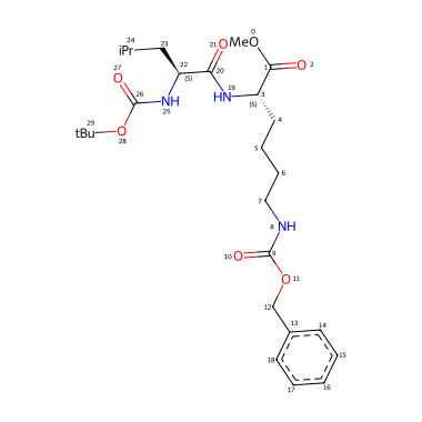 COC(=O)[C@H](CCCCNC(=O)OCc1ccccc1)NC(=O)[C@H](CC(C)C)NC(=O)OC(C)(C)C